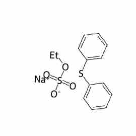 CCOS(=O)(=O)[O-].[Na+].c1ccc(Sc2ccccc2)cc1